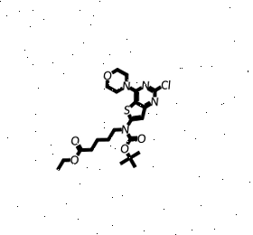 CCOC(=O)CCCCN(C(=O)OC(C)(C)C)c1cc2nc(Cl)nc(N3CCOCC3)c2s1